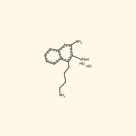 CCCCCc1c(N)nc2ccccc2c1CCCCN.Cl.Cl